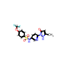 Cc1cc(=O)n(-c2ccc(NS(=O)(=O)c3ccc(OC(F)F)cc3)cn2)[nH]1